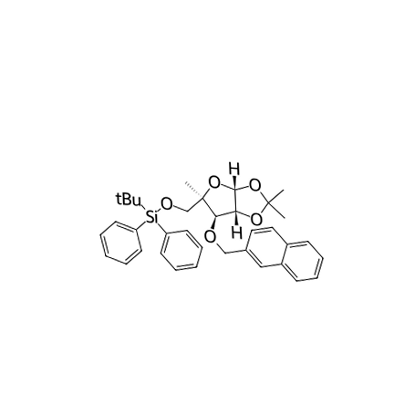 CC1(C)O[C@H]2O[C@](C)(CO[Si](c3ccccc3)(c3ccccc3)C(C)(C)C)[C@H](OCc3ccc4ccccc4c3)[C@H]2O1